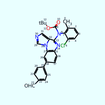 Cc1cccc(Cl)c1N(C(=O)OC(C)(C)C)c1nc2ccc(-c3ccc(C=O)cc3)cc2n2cncc12